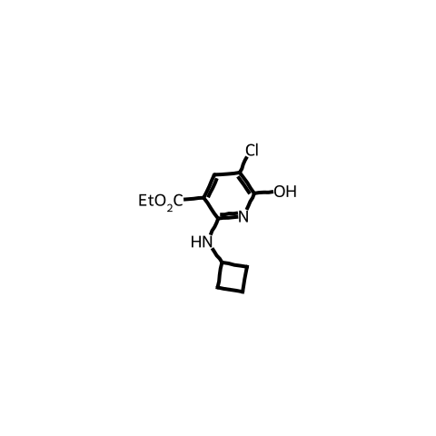 CCOC(=O)c1cc(Cl)c(O)nc1NC1CCC1